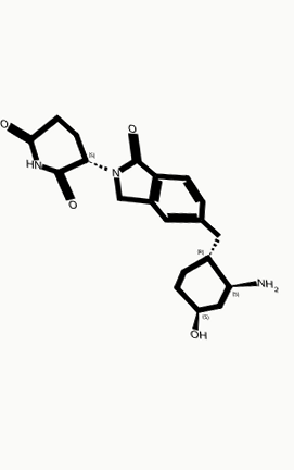 N[C@H]1C[C@@H](O)CC[C@@H]1Cc1ccc2c(c1)CN([C@H]1CCC(=O)NC1=O)C2=O